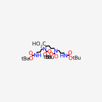 CC(C)(C)OC(=O)NCCCN(CCC[C@@H](C(=O)O)N(CCCNC(=O)OC(C)(C)C)C(=O)OC(C)(C)C)C(=O)OC(C)(C)C